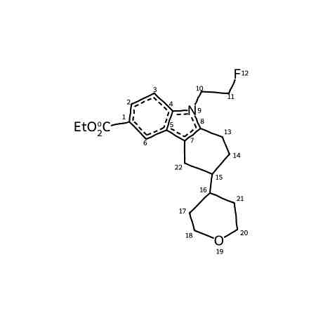 CCOC(=O)c1ccc2c(c1)c1c(n2CCF)CCC(C2CCOCC2)C1